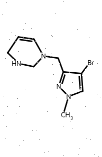 Cn1cc(Br)c(CN2C=CCNC2)n1